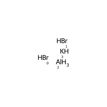 Br.Br.[AlH3].[KH]